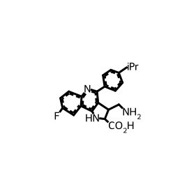 CC(C)c1ccc(-c2nc3ccc(F)cc3c3c2C(CN)C(C(=O)O)N3)cc1